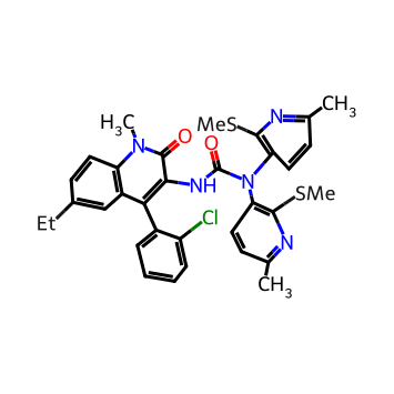 CCc1ccc2c(c1)c(-c1ccccc1Cl)c(NC(=O)N(c1ccc(C)nc1SC)c1ccc(C)nc1SC)c(=O)n2C